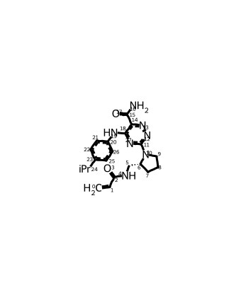 C=CC(=O)NC[C@H]1CCCN1c1nnc(C(N)=O)c(Nc2ccc(C(C)C)cc2)n1